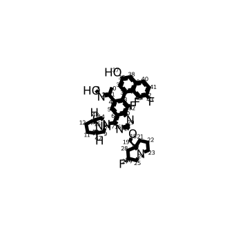 CC(=NO)c1cc2c(N3C[C@H]4CC[C@@H](C3)N4)nc(OC[C@@]34CCCN3C[C@H](F)C4)nc2c(F)c1-c1cc(O)cc2ccc(F)c(F)c12